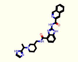 CC(c1ncc[nH]1)N1CCCC(CNC(=O)c2cccc3[nH]c(NC(=O)c4cc5ccccc5cn4)nc23)C1